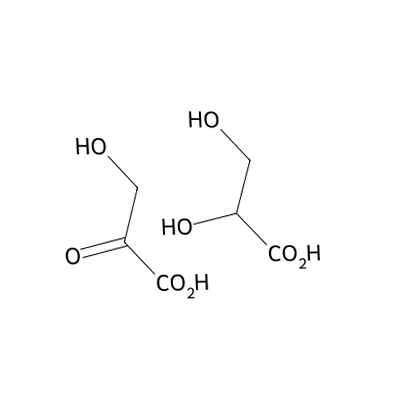 O=C(O)C(=O)CO.O=C(O)C(O)CO